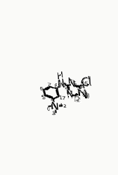 C[N+](C)(C)c1cccc(Nc2n[c]nc(Cl)n2)c1